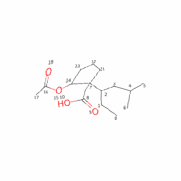 CCC(CC(C)C)C1(C(=O)O)CCCC1OC(C)=O